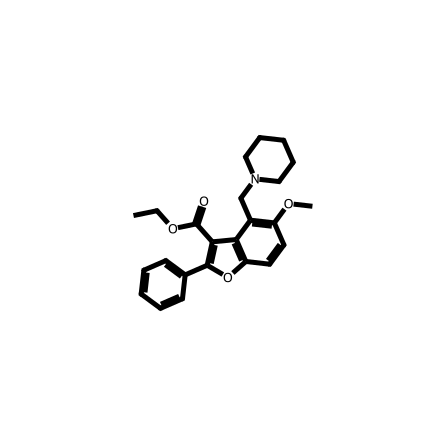 CCOC(=O)c1c(-c2ccccc2)oc2ccc(OC)c(CN3CCCCC3)c12